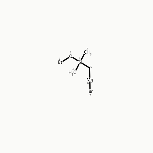 CCO[Si](C)(C)[CH2][Mg][Br]